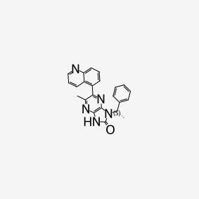 Cc1nc2[nH]c(=O)n([C@@H](C)c3ccccc3)c2nc1-c1cccc2ncccc12